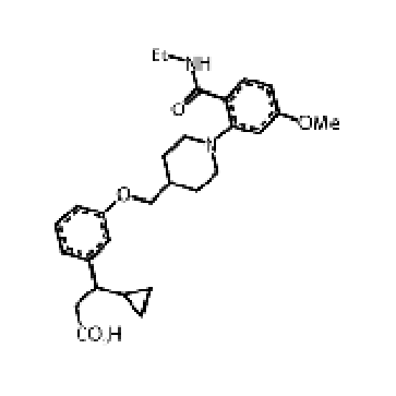 CCNC(=O)c1ccc(OC)cc1N1CCC(COc2cccc(C(CC(=O)O)C3CC3)c2)CC1